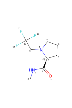 CNC(=O)[C@@H]1CCCN1CC(F)(F)F